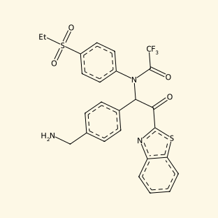 CCS(=O)(=O)c1ccc(N(C(=O)C(F)(F)F)C(C(=O)c2nc3ccccc3s2)c2ccc(CN)cc2)cc1